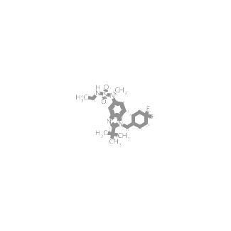 CCNS(=O)(=O)N(C)c1ccc2c(c1)nc(C(C)(C)C)n2CC1CCC(F)(F)CC1